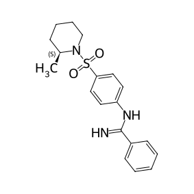 C[C@H]1CCCCN1S(=O)(=O)c1ccc(NC(=N)c2ccccc2)cc1